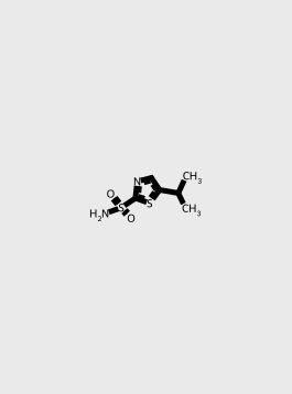 CC(C)c1cnc(S(N)(=O)=O)s1